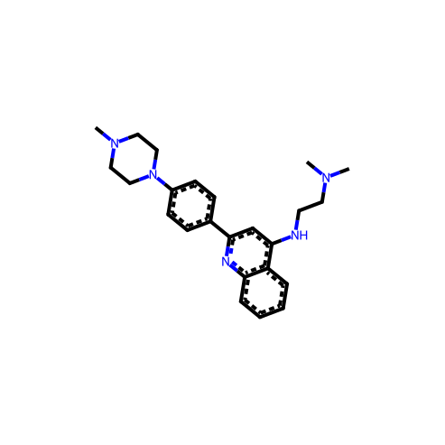 CN(C)CCNc1cc(-c2ccc(N3CCN(C)CC3)cc2)nc2ccccc12